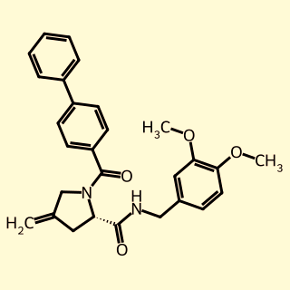 C=C1C[C@@H](C(=O)NCc2ccc(OC)c(OC)c2)N(C(=O)c2ccc(-c3ccccc3)cc2)C1